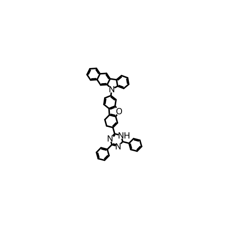 C1=C(C2=NC(c3ccccc3)=NC(c3ccccc3)N2)CCc2c1oc1cc(-n3c4ccccc4c4cc5ccccc5cc43)ccc21